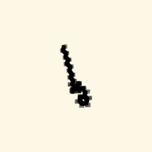 CCCCCCCCCCCCS(=O)(=O)N/N=C\c1ccccc1